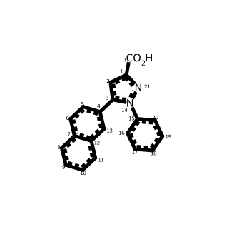 O=C(O)c1cc(-c2ccc3ccccc3c2)n(-c2ccccc2)n1